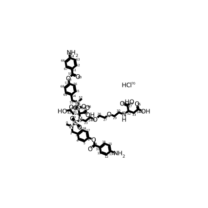 CN(Cc1ccc(OC(=O)c2ccc(N)cc2)cc1)S(=O)(=O)N(CCOCCOCCNC(CC(=O)O)C(=O)O)[C@](CC(=O)O)(C(=O)O)S(=O)(=O)N(C)Cc1ccc(OC(=O)c2ccc(N)cc2)cc1.Cl